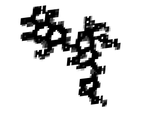 CO[C@@H]1[C@@H](OC(=O)Nc2cc(C)on2)[C@@H](O)[C@H](Oc2ccc3c(O)c(C(=O)O)c(=O)oc3c2C)OC1(C)C